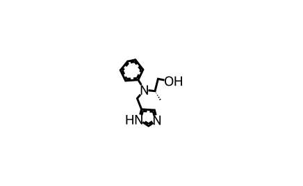 C[C@@H](CO)N(Cc1cnc[nH]1)c1ccccc1